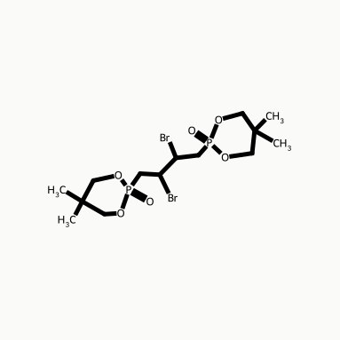 CC1(C)COP(=O)(CC(Br)C(Br)CP2(=O)OCC(C)(C)CO2)OC1